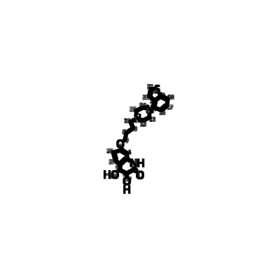 O=C1Nc2cc(OCCCCN3CCN(c4cccc5sccc45)CC3)ccc2C(O)C1O